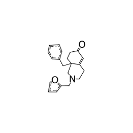 O=C1C=C2CCN(Cc3ccco3)CC2(Cc2ccccc2)CC1